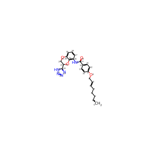 C=CCCC/C=C/COc1ccc(C(=O)Nc2cccc3c2OC(c2nnn[nH]2)CO3)cc1